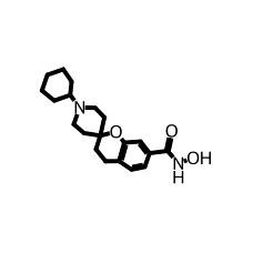 O=C(NO)c1ccc2c(c1)OC1(CC2)CCN(C2CCCCC2)CC1